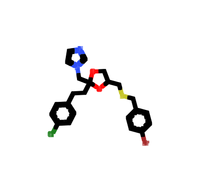 Clc1ccc(CCC2(Cn3ccnc3)OCC(CSCc3ccc(Br)cc3)O2)cc1